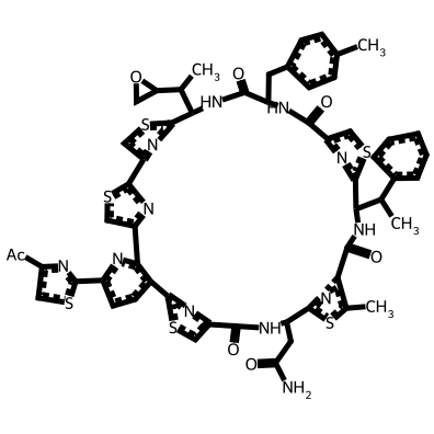 CC(=O)c1csc(-c2ccc3c(n2)-c2csc(n2)-c2csc(n2)C(C(C)C2CO2)NC(=O)C(Cc2ccc(C)cc2)NC(=O)c2csc(n2)C(C(C)c2ccccc2)NC(=O)c2nc(sc2C)C(CC(N)=O)NC(=O)c2csc-3n2)n1